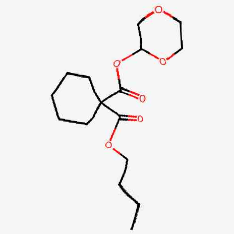 CCCCOC(=O)C1(C(=O)OC2COCCO2)CCCCC1